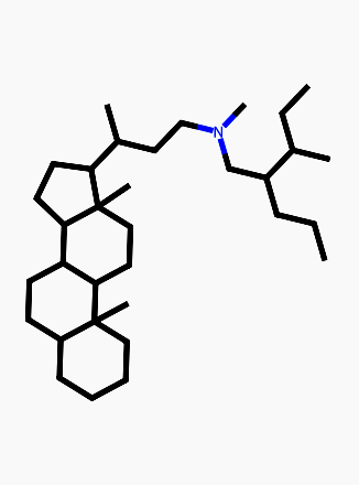 CCCC(CN(C)CCC(C)C1CCC2C3CCC4CCCCC4(C)C3CCC12C)C(C)CC